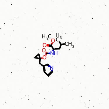 COC(=O)C(CC(C)C)NC(=O)OC1(Cc2cccnc2)CC1